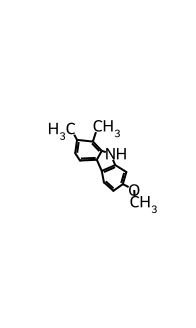 COc1ccc2c(c1)[nH]c1c(C)c(C)ccc12